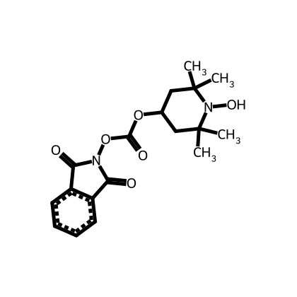 CC1(C)CC(OC(=O)ON2C(=O)c3ccccc3C2=O)CC(C)(C)N1O